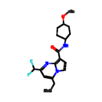 CCCCOC1CCC(NC(=O)c2ccn3c(COC)cc(C(F)F)nc23)CC1